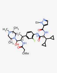 CCn1nccc1C(=O)N[C@H](C(=O)Nc1ccc([C@H](C)[C@@H](NC(=O)COC)C(O)N2C[C@@H](C)N(C)C[C@H]2C)cc1F)C(C1CC1)C1CC1